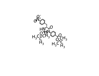 CC(C)(C)OC(=O)NC(Cc1ccc([N+](=O)[O-])cc1)C(=O)Nc1ccc(C(=O)OC(C)(C)C)cc1